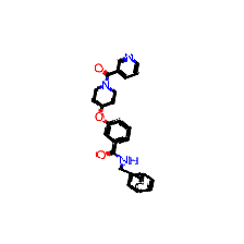 O=C(NCC1CC2C=CC1CC2)c1cccc(OC2CCN(C(=O)c3cccnc3)CC2)c1